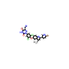 Cc1cc(-c2ccc(Br)nc2)nc2ccc(Oc3c(Cl)cc(-n4nc(C#N)c(=O)[nH]c4=O)cc3Cl)cc12